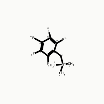 C[N+](C)(C)Cc1c(F)c(F)c(F)c(F)c1F